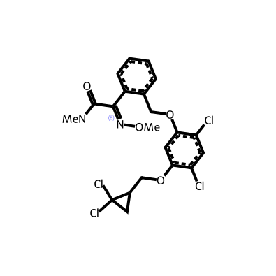 CNC(=O)/C(=N/OC)c1ccccc1COc1cc(OCC2CC2(Cl)Cl)c(Cl)cc1Cl